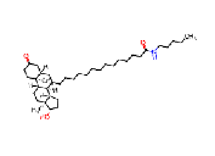 CCCCCNC(=O)CCCCCCCCCCCCC[C@@H]1C[C@H]2CC(=O)CC[C@]2(C)[C@H]2CC[C@]3(C)[C@@H](O)CC[C@H]3[C@H]12